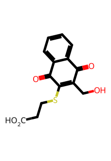 O=C(O)CCSC1=C(CO)C(=O)c2ccccc2C1=O